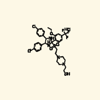 CCOc1cc(C(F)(F)F)ccc1C1(S(=O)(=O)CCN2CCN(CCO)CC2)NC(c2ccc(Cl)cc2)C(c2ccc(Cl)cc2)N1.Cl